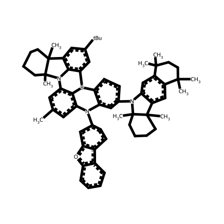 Cc1cc2c3c(c1)N1c4c(cc(C(C)(C)C)cc4C4(C)CCCCC14C)B3c1ccc(N3c4cc5c(cc4C4(C)CCCCC34C)C(C)(C)CCC5(C)C)cc1N2c1ccc2c(c1)oc1ccccc12